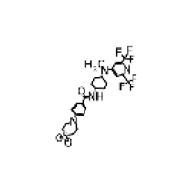 CN(c1cc(C(F)(F)F)nc(C(F)(F)F)c1)[C@H]1CC[C@@H](NC(=O)c2ccc(N3CCS(=O)(=O)CC3)cc2)CC1